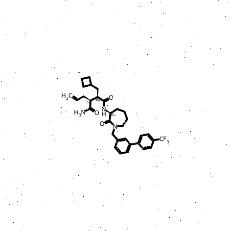 C=CC[C@H](C(N)=O)[C@@H](CC1CCC1)C(=O)N[C@H]1CCCCN(Cc2cccc(-c3ccc(C(F)(F)F)cc3)c2)C1=O